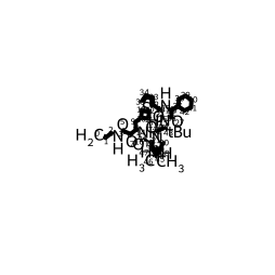 C=CCNC(=O)C(=O)C(CC1CCC1)NC(=O)[C@@H]1[C@@H]2[C@H](CN1C(=O)[C@@H](NC(=O)[C@@H](NC(=O)c1cccs1)C1CCCCC1)C(C)(C)C)C2(C)C